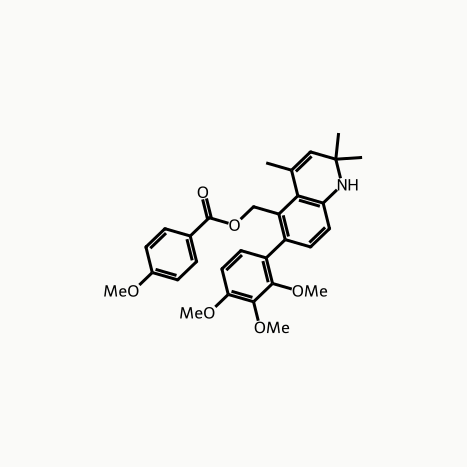 COc1ccc(C(=O)OCc2c(-c3ccc(OC)c(OC)c3OC)ccc3c2C(C)=CC(C)(C)N3)cc1